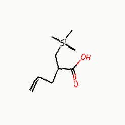 C=CCC(C[Si](C)(C)C)C(=O)O